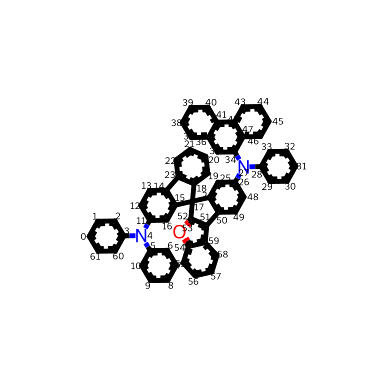 c1ccc(N(c2ccccc2)c2ccc3c(c2)C2(c4ccccc4-3)c3cc(N(c4ccccc4)c4cc5ccccc5c5ccccc45)ccc3-c3c2oc2ccccc32)cc1